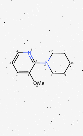 COc1cccnc1N1CCCCC1